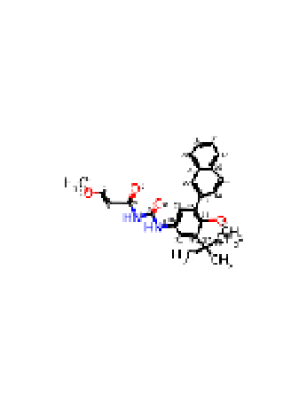 COC=CC(=O)NC(=O)Nc1cc(-c2ccc3ccccc3c2)c(OC)c(C(C)(C)C)c1